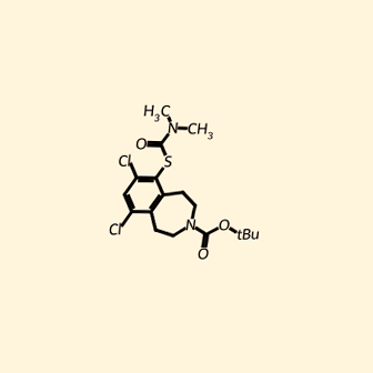 CN(C)C(=O)Sc1c(Cl)cc(Cl)c2c1CCN(C(=O)OC(C)(C)C)CC2